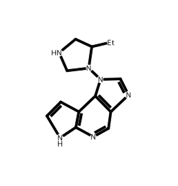 CCC1CNCN1n1cnc2cnc3[nH]ccc3c21